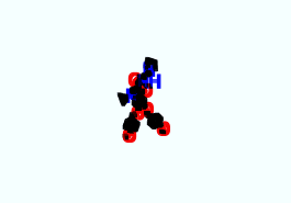 COc1ccc(COc2cc3c(=O)c(C(=O)NCCN4CCCC4)cn(C4CC4)c3cc2OCc2ccc(OC)cc2)cc1